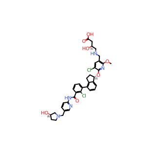 COc1nc(O[C@H]2CCc3c(-c4cccc(C(=O)Nc5ccc(CN6CC[C@@H](O)C6)cn5)c4Cl)cccc32)c(Cl)cc1CNC[C@@H](O)CC(=O)O